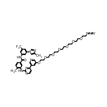 Cc1cn(-c2cc(NC(=O)c3ccc(C)c(Nc4nccc(-c5cncc(OCCOCCOCCOCCOCCOCCOCCN=[N+]=[N-])c5)n4)c3)cc(C(F)(F)F)c2)cn1